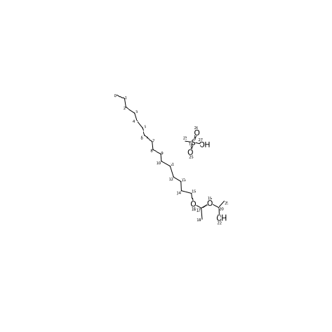 CCCCCCCCCCCCCCCCOC(C)OC(C)O.CS(=O)(=O)O